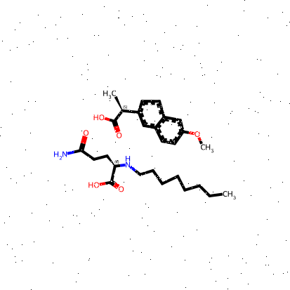 CCCCCCCCN[C@H](CCC(N)=O)C(=O)O.COc1ccc2cc([C@H](C)C(=O)O)ccc2c1